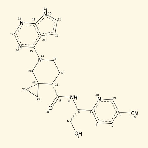 N#Cc1ccc([C@H](CO)NC(=O)[C@H]2CCN(c3ncnc4[nH]ccc34)CC23CC3)nc1